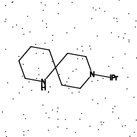 CC(C)N1CCC2(CCCCN2)CC1